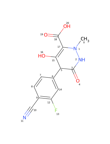 CN1NC(=O)C(c2ccc(C#N)c(F)c2)C(O)=C1C(=O)O